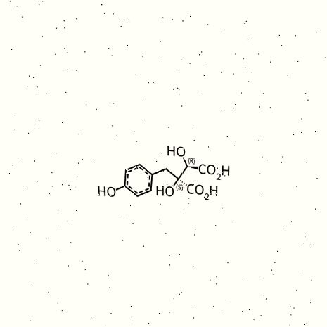 O=C(O)[C@H](O)[C@@](O)(Cc1ccc(O)cc1)C(=O)O